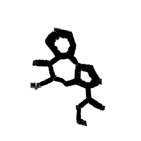 CN1Cc2c(C(=O)OC(C)(C)C)ncn2-c2ccncc2C1=O